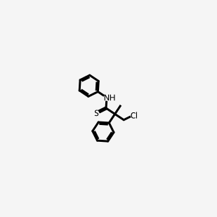 CC(CCl)(C(=S)Nc1ccccc1)c1ccccc1